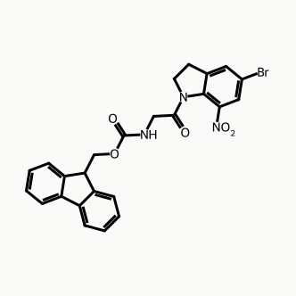 O=C(NCC(=O)N1CCc2cc(Br)cc([N+](=O)[O-])c21)OCC1c2ccccc2-c2ccccc21